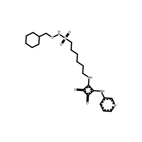 O=c1c(NCCCCCCS(=O)(=O)NOCC2CCCCC2)c(Nc2cccnc2)c1=O